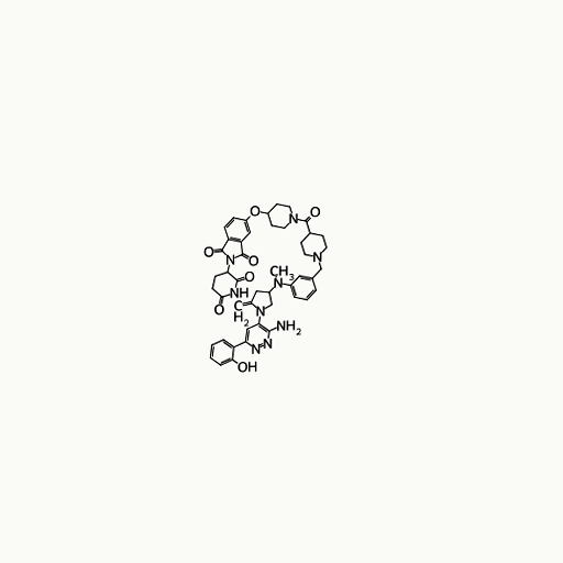 C=C1CC(N(C)c2cccc(CN3CCC(C(=O)N4CCC(Oc5ccc6c(c5)C(=O)N(C5CCC(=O)NC5=O)C6=O)CC4)CC3)c2)CN1c1cc(-c2ccccc2O)nnc1N